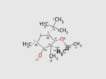 C[C@@H]1C[C@H](C(C)(C)C)C(O[SiH](C)C)C(C)(C)C1=O